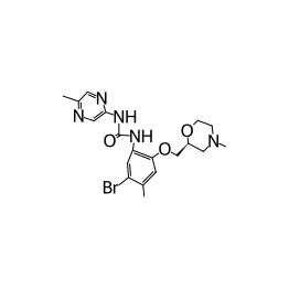 Cc1cnc(NC(=O)Nc2cc(Br)c(C)cc2OC[C@@H]2CN(C)CCO2)cn1